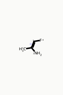 C/C(N)=C/F